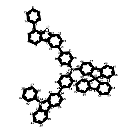 c1ccc(-c2cccc3c2oc2ccc(-c4ccc(N(c5ccc(-c6ccc7c8ccccc8n(-c8ccccc8)c7c6)cc5)c5ccc6c(c5)C5(c7ccccc7-c7ccccc75)c5ccccc5-6)cc4)cc23)cc1